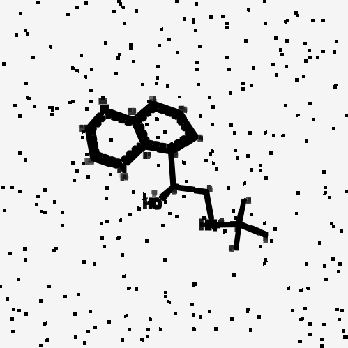 CC(C)(C)NC[C@@H](O)c1cccc2nccnc12